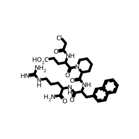 N=C(N)NCCCC(NC(=O)C(Cc1ccc2ccccc2c1)NC(=O)C1CCCCN1C(=O)C(CCC(=O)O)NC(=O)CCl)C(N)=O